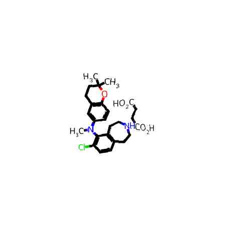 CN(c1ccc2c(c1)CCC(C)(C)O2)c1c(Cl)ccc2c1CCNCC2.O=C(O)CCC(=O)O